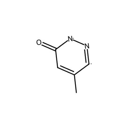 CC1=CC(=O)[N]N=[C]1